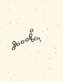 Cc1cccc(N(c2ccc(-c3ccccc3)cc2)c2ccc(-c3ccc(-c4ccc5c(c4)c4ccccc4n5-c4ccccc4)cc3)cc2)c1